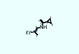 C=C(N/C=C(\C)CC)C1CC1